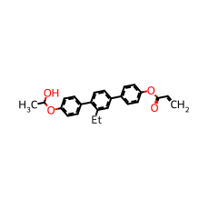 C=CC(=O)Oc1ccc(-c2ccc(-c3ccc(OC(C)O)cc3)c(CC)c2)cc1